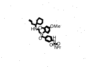 C=CCC(NCCN(C(=O)c1ccc(NS(=O)(=O)CCC)cc1)c1ccc(OC)cc1Cl)C1CCCCC1